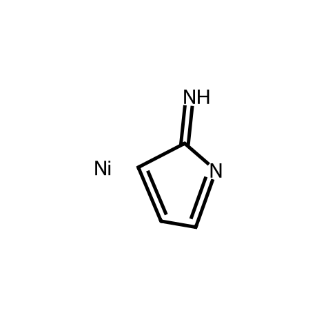 N=C1C=CC=N1.[Ni]